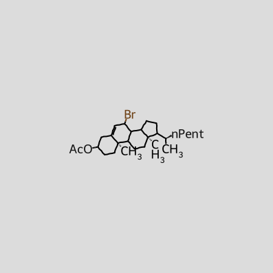 CCCCC[C@@H](C)C1CCC2C3C(Br)C=C4CC(OC(C)=O)CC[C@]4(C)C3CC[C@@]21C